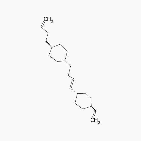 C=CCC[C@H]1CC[C@H](CC/C=C/[C@H]2CC[C@H](C=C)CC2)CC1